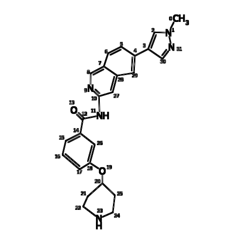 Cn1cc(-c2ccc3cnc(NC(=O)c4cccc(OC5CCNCC5)c4)cc3c2)cn1